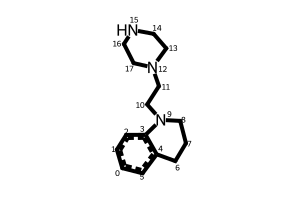 c1ccc2c(c1)CCCN2CCN1CCNCC1